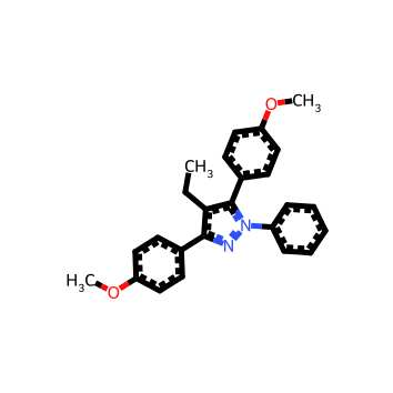 CCc1c(-c2ccc(OC)cc2)nn(-c2ccccc2)c1-c1ccc(OC)cc1